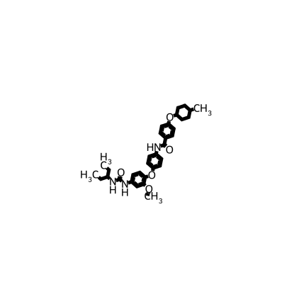 CCC(CC)NC(=O)Nc1ccc(Oc2ccc(NC(=O)c3ccc(OC4CCC(C)CC4)cc3)cc2)c(OC)c1